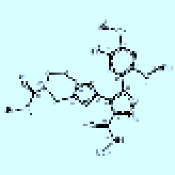 CCCCOc1cc(OCCCC)c(C(C)C)cc1-c1onc(C(=O)NCC)c1-c1cc2n(c1)CCN(C(=O)OC(C)(C)C)C2